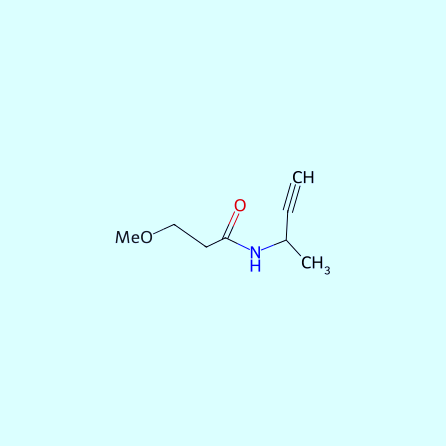 C#CC(C)NC(=O)CCOC